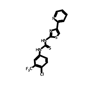 FC(F)(F)c1cc(NC(=S)Nc2nc(-c3ccccn3)cs2)ccc1Cl